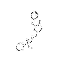 CC(C)(COCc1ccc(F)c(Oc2ccccc2)c1)C1=CCCCC1